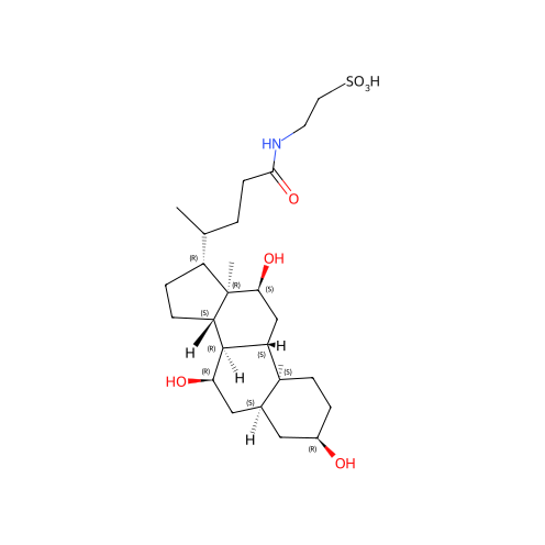 CC(CCC(=O)NCCS(=O)(=O)O)[C@H]1CC[C@H]2[C@@H]3[C@H](O)C[C@@H]4C[C@H](O)CC[C@]4(C)[C@H]3C[C@H](O)[C@]12C